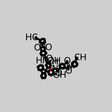 C#Cc1cccc(N2C(=O)c3ccc(C(=O)Nc4cc(C5(c6ccc(O)c(NC(=O)c7ccc8c(c7)C(=O)N(c7cccc(C#C)c7)C8=O)c6)c6ccccc6-c6ccccc65)ccc4O)cc3C2=O)c1